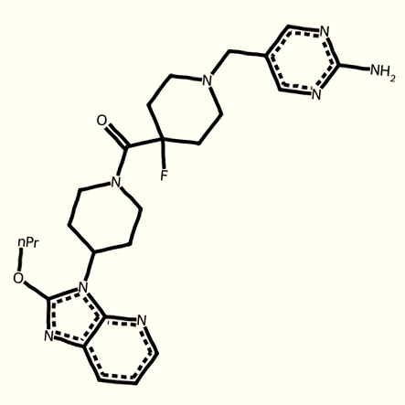 CCCOc1nc2cccnc2n1C1CCN(C(=O)C2(F)CCN(Cc3cnc(N)nc3)CC2)CC1